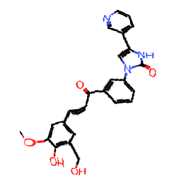 COc1cc(/C=C/C(=O)c2cccc(-n3cc(-c4cccnc4)[nH]c3=O)c2)cc(CO)c1O